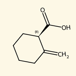 C=C1CCCC[C@H]1C(=O)O